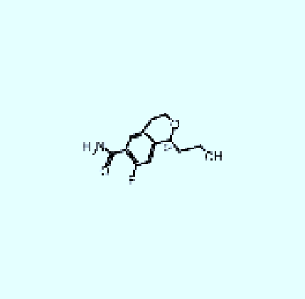 NC(=O)c1cc2c(cc1F)[C@H](CCO)OCC2